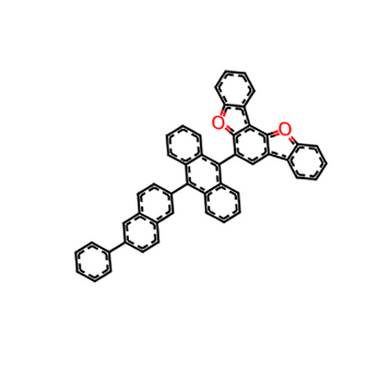 c1ccc(-c2ccc3cc(-c4c5ccccc5c(-c5cc6c7ccccc7oc6c6c5oc5ccccc56)c5ccccc45)ccc3c2)cc1